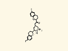 NCP(CC(=O)C1CCc2cc(F)ccc2O1)CC(O)C1CCc2cc(F)ccc2O1